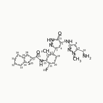 Cc1c(-c2cc(Nc3cc(CN)n(C)n3)c(=O)[nH]n2)ccc(F)c1NC(=O)c1cc2ccccc2s1